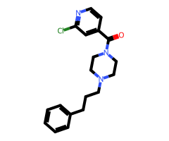 O=C(c1ccnc(Cl)c1)N1CCN(CCCc2ccccc2)CC1